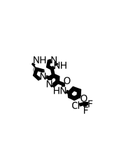 NC[C@@H]1CCN(c2ncc(C(=O)Nc3ccc(OC(F)(F)Cl)cc3)cc2C2CC=NN2)C1